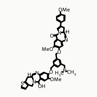 COc1ccc(C2=CN3C(=O)c4cc(OC)c(OCc5cc(COc6cc7c(cc6OC)C(O)N6Cc8ccsc8C[C@H]6C=N7)cc(CN(C)C)c5)cc4N=C[C@@H]3C2)cc1